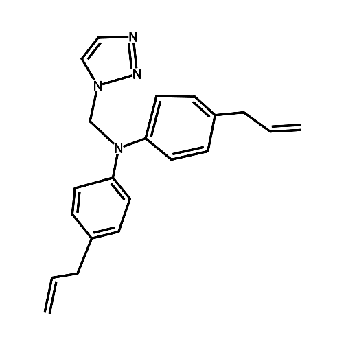 C=CCc1ccc(N(Cn2ccnn2)c2ccc(CC=C)cc2)cc1